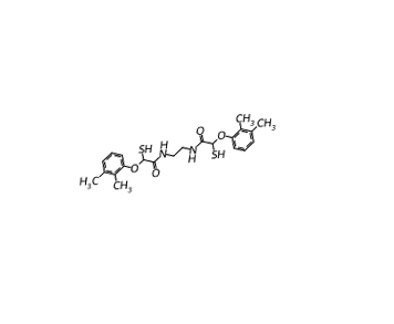 Cc1cccc(OC(S)C(=O)NCCNC(=O)C(S)Oc2cccc(C)c2C)c1C